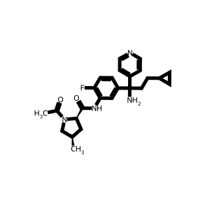 CC(=O)N1C[C@H](C)C[C@@H]1C(=O)Nc1cc(C(N)(CCC2CC2)c2ccncc2)ccc1F